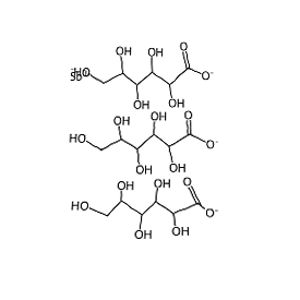 O=C([O-])C(O)C(O)C(O)C(O)CO.O=C([O-])C(O)C(O)C(O)C(O)CO.O=C([O-])C(O)C(O)C(O)C(O)CO.[Sb+3]